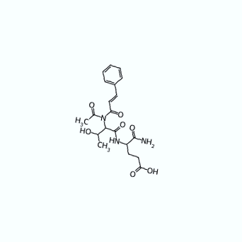 CC(=O)N(C(=O)C=Cc1ccccc1)C(C(=O)NC(CCC(=O)O)C(N)=O)C(C)O